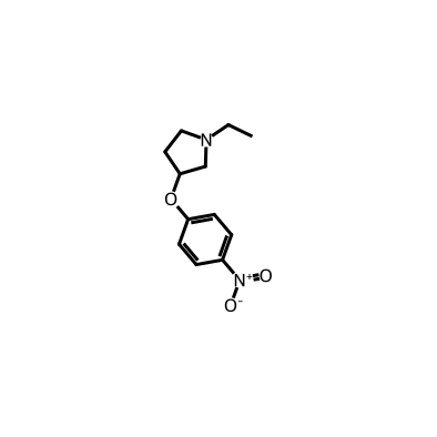 CCN1CCC(Oc2ccc([N+](=O)[O-])cc2)C1